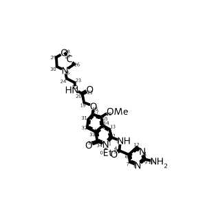 CCn1c(NC(=O)c2cnc(N)nc2)cc2c(OC)c(OCC(=O)NCCN3CCOCC3)ccc2c1=O